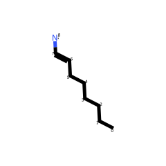 CCCCCCC=C[N]